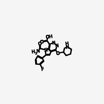 NC(=O)[SH]1C(c2cccc(F)c2)=Cc2c(OC3CCCNC3)nnc(C(=O)O)c21